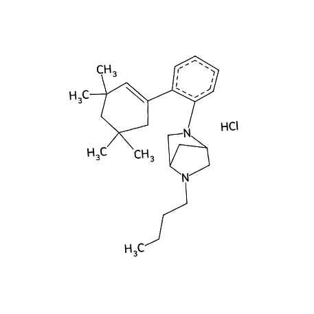 CCCCN1CC2CC1CN2c1ccccc1C1=CC(C)(C)CC(C)(C)C1.Cl